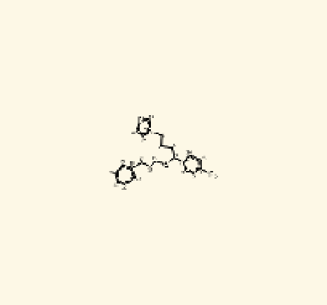 Fc1ccc(C(CCCn2ccnc2)SCCCc2ccccc2)cc1